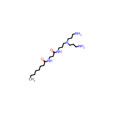 CCCCCCCC(=O)NCCC(=O)NCCCN(CCCN)CCCN